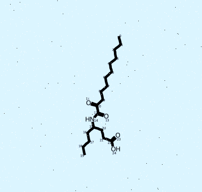 CCCCCCCCCCC(=O)C(=O)NC(CCCC)CCC(=O)O